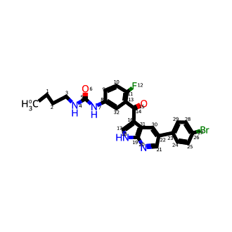 CCCCNC(=O)Nc1ccc(F)c(C(=O)c2c[nH]c3ncc(-c4ccc(Br)cc4)cc23)c1